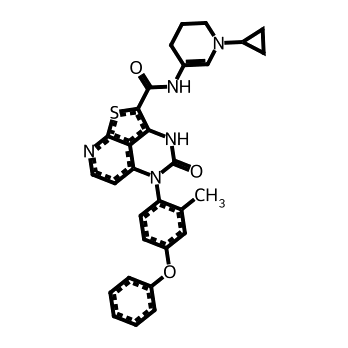 Cc1cc(Oc2ccccc2)ccc1N1C(=O)Nc2c(C(=O)NC3=CN(C4CC4)CCC3)sc3nccc1c23